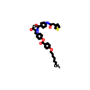 CCCCCCCOc1ccc(C(=O)Oc2ccc(C[C@H](NC(=O)c3ccc(NC(=O)Cc4ccsc4)cc3)C(C)=O)cc2)cc1